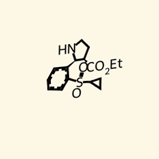 CCOC(=O)[C@@H]1CCN[C@@H]1c1ccccc1S(=O)(=O)C1CC1